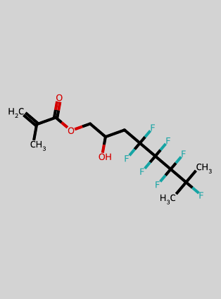 C=C(C)C(=O)OCC(O)CC(F)(F)C(F)(F)C(F)(F)C(C)(C)F